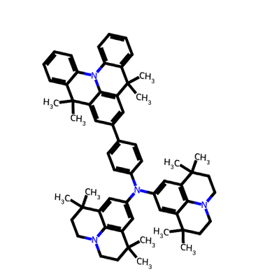 CC1(C)CCN2CCC(C)(C)c3cc(N(c4ccc(-c5cc6c7c(c5)C(C)(C)c5ccccc5N7c5ccccc5C6(C)C)cc4)c4cc5c6c(c4)C(C)(C)CCN6CCC5(C)C)cc1c32